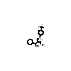 Cc1nn(-c2ccc(C(F)(F)F)cc2)cc1C(O)C1CCCCC1